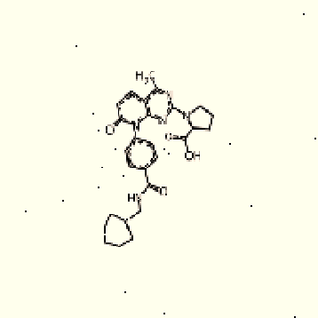 Cc1nc(N2CCC[C@H]2C(=O)O)nc2c1ccc(=O)n2-c1ccc(C(=O)NCC2CCCCC2)cc1